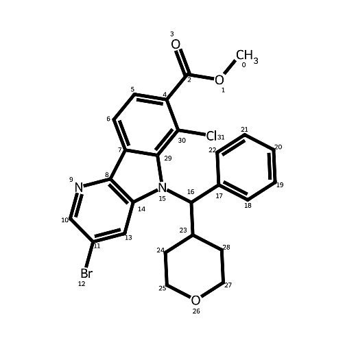 COC(=O)c1ccc2c3ncc(Br)cc3n(C(c3ccccc3)C3CCOCC3)c2c1Cl